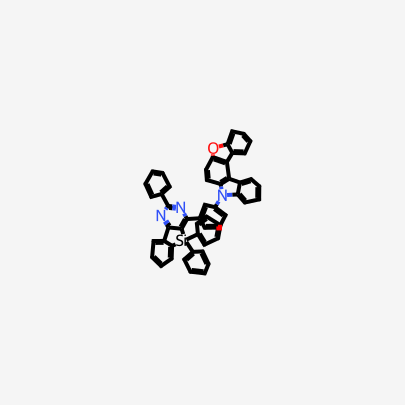 c1ccc(-c2nc(-c3cccc(-n4c5ccccc5c5c6c(ccc54)oc4ccccc46)c3)c3c(n2)-c2ccccc2[Si]3(c2ccccc2)c2ccccc2)cc1